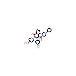 O=C([C@@H]1c2ccccc2C(=O)N([C@H]2CC[C@H](O)CC2)[C@H]1c1ccc(Cl)cc1Cl)N1CCN(c2ccccc2)CC1